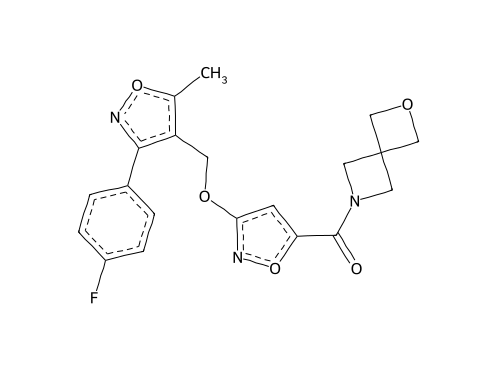 Cc1onc(-c2ccc(F)cc2)c1COc1cc(C(=O)N2CC3(COC3)C2)on1